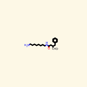 NCCCCCCCCNC(=O)CC([C]=O)Cc1ccccc1